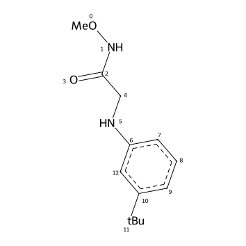 CONC(=O)CNc1cccc(C(C)(C)C)c1